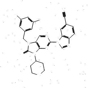 N#Cc1ccc2ncn(-c3ncc4c(n3)n(C3CCOCC3)c(=O)n4Cc3cc(F)cc(F)c3)c2c1